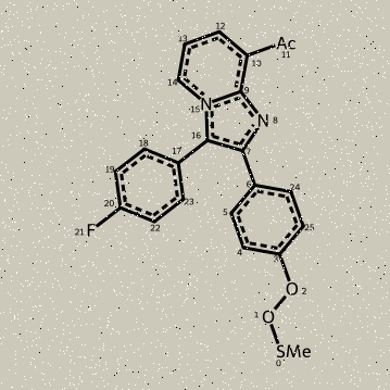 CSOOc1ccc(-c2nc3c(C(C)=O)cccn3c2-c2ccc(F)cc2)cc1